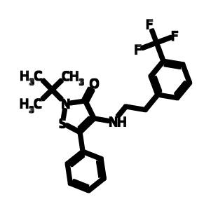 CC(C)(C)n1sc(-c2ccccc2)c(NCCc2cccc(C(F)(F)F)c2)c1=O